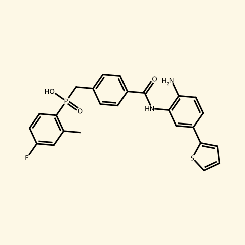 Cc1cc(F)ccc1P(=O)(O)Cc1ccc(C(=O)Nc2cc(-c3cccs3)ccc2N)cc1